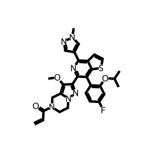 C=CC(=O)N1CCn2nc(-c3nc(-c4cnn(C)c4)c4ccsc4c3-c3ccc(F)cc3OC(C)C)c(OC)c2C1